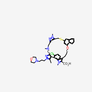 Cc1c2c(nn1CCCN1CCOCC1)CN(C)Cc1cc(n(C)n1)CSc1cc(c3ccccc3c1)OCCCc1c(C(=O)O)n(C)c3c-2c(Cl)ccc13